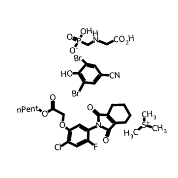 CCCCCOC(=O)COc1cc(N2C(=O)C3=C(CCCC3)C2=O)c(F)cc1Cl.C[S+](C)C.N#Cc1cc(Br)c(O)c(Br)c1.O=C(O)CNCP(=O)([O-])O